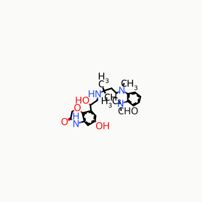 CN(C=O)c1ccccc1N(C)CCC(C)(C)NCC(O)c1cc(O)cc2c1OCC(=O)N2